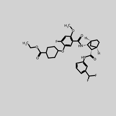 CCOC(=O)C1CCC(Oc2cc(C(=O)N[C@@H]3[C@H]4CC[C@H](C4)[C@@H]3C(=O)Nc3cccc(C(F)F)c3)c(OC)cc2F)CC1